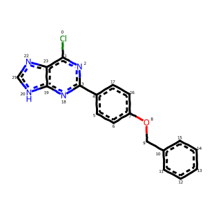 Clc1nc(-c2ccc(OCc3ccccc3)cc2)nc2[nH]cnc12